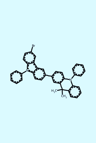 CC1(C)c2ccccc2N(c2ccccc2)c2ccc(-c3ccc4c(c3)c3cc(Br)ccc3n4-c3ccccc3)cc21